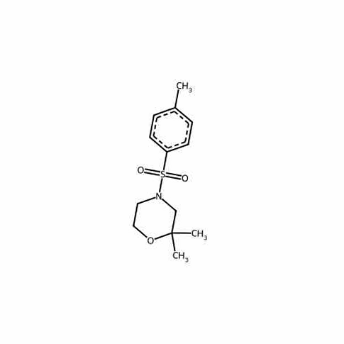 Cc1ccc(S(=O)(=O)N2CCOC(C)(C)C2)cc1